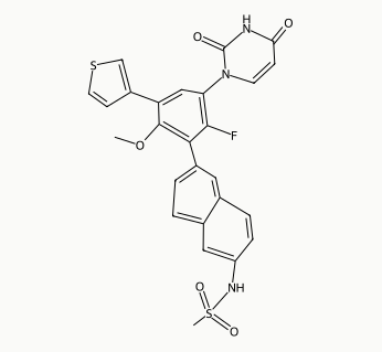 COc1c(-c2ccsc2)cc(-n2ccc(=O)[nH]c2=O)c(F)c1-c1ccc2cc(NS(C)(=O)=O)ccc2c1